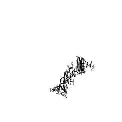 Cn1cc(-c2ccc3cnc(NC(=O)CN4CC5CC5C4)cc3n2)cn1